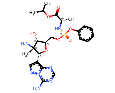 CC(C)OC(=O)[C@H](C)N[P@](=O)(OC[C@H]1O[C@H](c2cnn3c(N)ncnc23)[C@](C)(N)[C@@H]1O)Oc1ccccc1